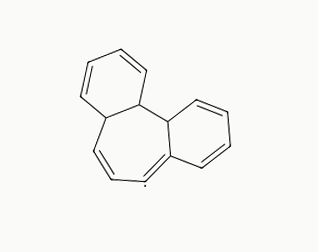 [C]1=C2C=CC=CC2C2C=CC=CC2C=C1